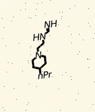 CCCC1CCN(CCNC=N)CC1